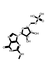 CNc1nc2c(ncn2[C@@H]2O[C@H](COP(=O)(O)O)[C@@H](O)[C@H]2O)c(=O)[nH]1